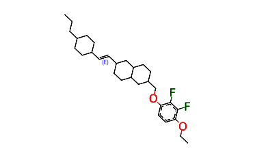 CCCC1CCC(/C=C/C2CCC3CC(COc4ccc(OCC)c(F)c4F)CCC3C2)CC1